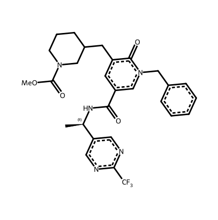 COC(=O)N1CCCC(Cc2cc(C(=O)N[C@H](C)c3cnc(C(F)(F)F)nc3)cn(Cc3ccccc3)c2=O)C1